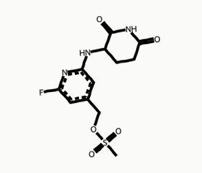 CS(=O)(=O)OCc1cc(F)nc(NC2CCC(=O)NC2=O)c1